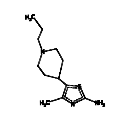 CCCN1CCC(c2sc(N)nc2C)CC1